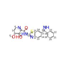 COc1ccnc(C(=O)Nc2nc3ccc(C(=N)c4ccccc4)cc3s2)c1O